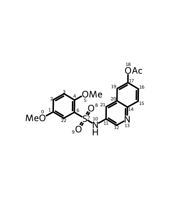 COc1ccc(OC)c(S(=O)(=O)Nc2cnc3ccc(OC(C)=O)cc3c2)c1